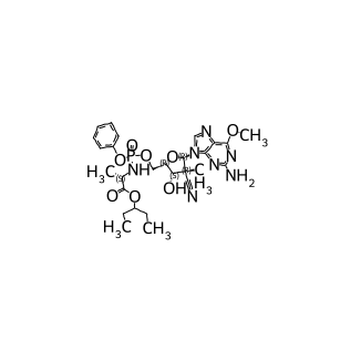 CCC(CC)OC(=O)[C@H](C)NP(=O)(OC[C@H]1O[C@@H](n2cnc3c(OC)nc(N)nc32)[C@](C)(C#N)[C@@H]1O)Oc1ccccc1